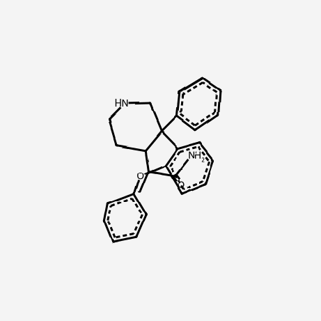 CC(C(N)=O)C1CCNCC1(c1ccccc1)c1ccccc1Oc1ccccc1